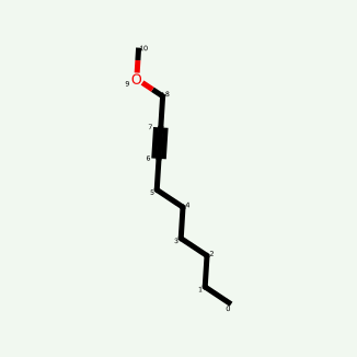 CCCCCCC#C[CH]OC